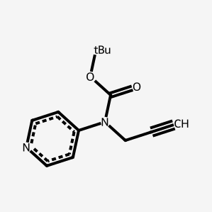 C#CCN(C(=O)OC(C)(C)C)c1ccncc1